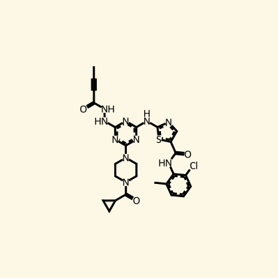 CC#CC(=O)NNc1nc(Nc2ncc(C(=O)Nc3c(C)cccc3Cl)s2)nc(N2CCN(C(=O)C3CC3)CC2)n1